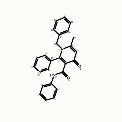 Cc1cc(=O)c(C(=O)Nc2ccccc2)c(-c2cccnc2)n1Cc1ccccc1